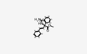 COC(=O)C(C=Cc1ccccc1)(NC(N)=O)c1ccccc1